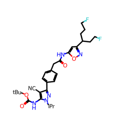 CC(C)n1nc(-c2ccc(CC(=O)Nc3cc(C(CCF)CCCF)no3)cc2)c(C#N)c1NC(=O)OC(C)(C)C